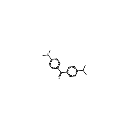 CC(C)c1ccc(C(=O)c2ccc(N(C)C)cc2)cc1